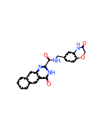 O=C1COc2ccc(CNC(=O)c3nc4cc5ccccc5cc4c(=O)[nH]3)cc2N1